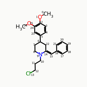 COc1ccc(C2CCN(CCCCl)C(=Cc3ccccc3)C2)cc1OC